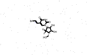 O=c1[nH]c(=O)n([C@@H]2C(O)C(O)[C@H](CO)C2(F)F)cc1/C=C/Br